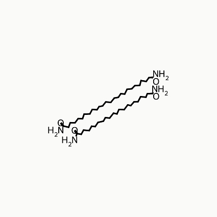 NC(=O)CCCCCCCCCCCCCCCCCCCCC(N)=O.NC(=O)CCCCCCCCCCCCCCCCCCCCCCCCC(N)=O